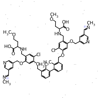 C/N=C/c1cncc(COc2cc(OCc3cccc(-c4cccc(COc5cc(OCc6cncc(/C=N/C)c6)c(CNC(CCOC)C(=O)O)cc5Cl)c4C)c3C)c(Cl)cc2CNC(CCOC)C(=O)O)c1